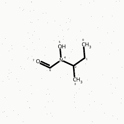 CCC(C)N(O)[C]=O